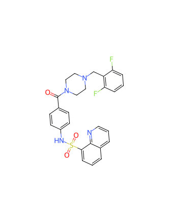 O=C(c1ccc(NS(=O)(=O)c2cccc3cccnc23)cc1)N1CCN(Cc2c(F)cccc2F)CC1